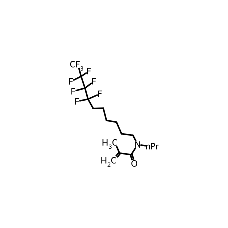 C=C(C)C(=O)N(CCC)CCCCCCC(F)(F)C(F)(F)C(F)(F)C(F)(F)F